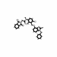 Cc1nc2c(OCc3c(Cl)ccc(N(C)C(=O)CN4C(=O)c5ccccc5C4=O)c3Cl)cccc2n1Cc1ccccc1